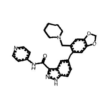 O=C(Nc1ccncc1)c1n[nH]c2ccc(-c3cc4c(cc3CN3CCCCC3)OCO4)cc12